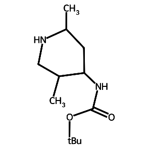 CC1CC(NC(=O)OC(C)(C)C)C(C)CN1